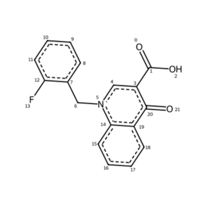 O=C(O)c1cn(Cc2ccccc2F)c2ccccc2c1=O